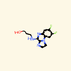 OCCCNc1nc2cc(F)c(F)cc2n2ccnc12